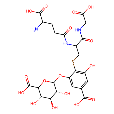 NC(CCC(=O)NC(CSc1c(O)cc(C(=O)O)cc1OC1OC(C(=O)O)[C@@H](O)[C@H](O)[C@H]1O)C(=O)NCC(=O)O)C(=O)O